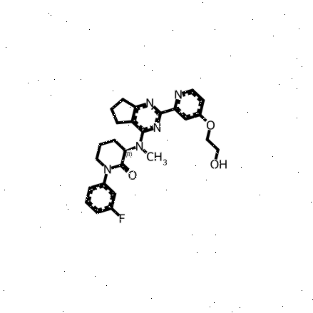 CN(c1nc(-c2cc(OCCO)ccn2)nc2c1CCC2)[C@@H]1CCCN(c2cccc(F)c2)C1=O